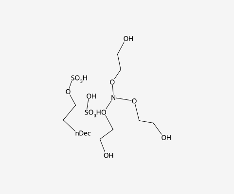 CCCCCCCCCCCCOS(=O)(=O)O.O=S(=O)(O)O.OCCON(OCCO)OCCO